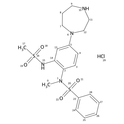 CN(c1ccc(N2CCCNCC2)cc1NS(C)(=O)=O)S(=O)(=O)c1ccccc1.Cl